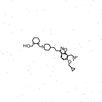 CN(C)Cc1c(OCC2CC2)ccc2c(CCC3CCN(C[C@@H]4CCCC[C@@H]4CO)CC3)noc12